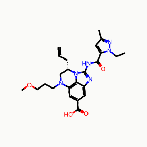 C=CC[C@H]1CN(CCCOC)c2cc(C(=O)O)cc3nc(NC(=O)c4cc(C)nn4CC)n1c23